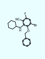 N#Cc1c(F)cc(Br)c(OCc2ccccc2)c1NC1CCCCC1